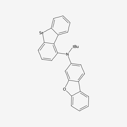 CC(C)(C)N(c1ccc2c(c1)oc1ccccc12)c1cccc2[se]c3ccccc3c12